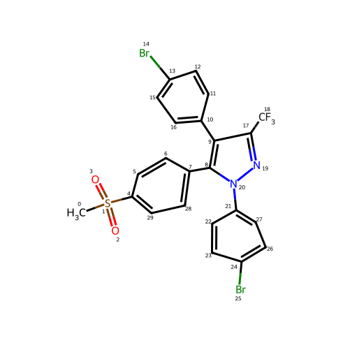 CS(=O)(=O)c1ccc(-c2c(-c3ccc(Br)cc3)c(C(F)(F)F)nn2-c2ccc(Br)cc2)cc1